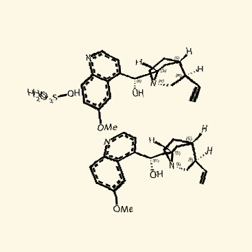 C=C[C@H]1C[N@]2CC[C@H]1C[C@H]2[C@H](O)c1ccnc2ccc(OC)cc12.C=C[C@H]1C[N@]2CC[C@H]1C[C@H]2[C@H](O)c1ccnc2ccc(OC)cc12.O.O=S(=O)(O)O